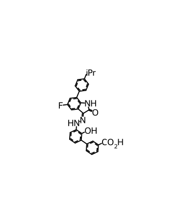 CC(C)c1ccc(-c2cc(F)cc3c2NC(=O)C3=NNc2cccc(-c3cccc(C(=O)O)c3)c2O)cc1